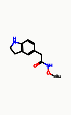 CCCCONC(=O)Cc1ccc2c(c1)CCN2